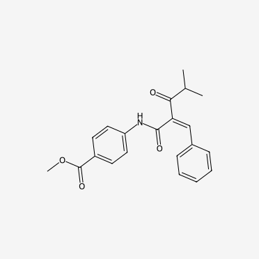 COC(=O)c1ccc(NC(=O)/C(=C\c2ccccc2)C(=O)C(C)C)cc1